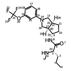 CCC[C@H](NC)C(=O)N[C@H]1CC[C@@H]2CN(c3cccc(OC(F)(F)F)c3)C[C@@H]21